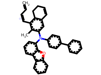 C=C/C=C\c1c(C)c(N(c2ccc(-c3ccccc3)cc2)c2cccc3c2oc2ccccc23)cc2c1CCC=C2